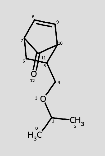 CC(C)OCC1CC2C=CC1C2=O